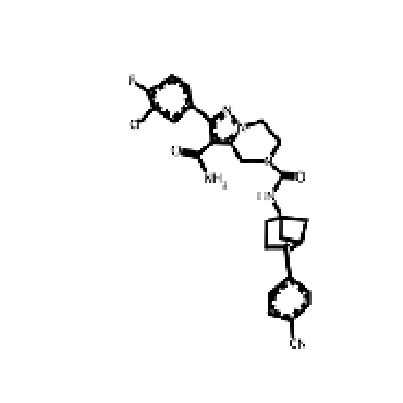 N#Cc1ccc(C2=C3CC(NC(=O)N4CCn5nc(-c6ccc(F)c(Cl)c6)c(C(N)=O)c5C4)(CC2)C3)cc1